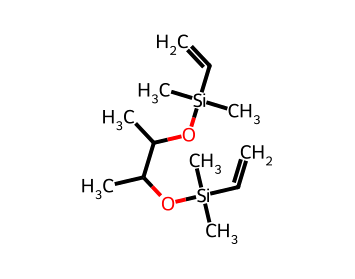 C=C[Si](C)(C)OC(C)C(C)O[Si](C)(C)C=C